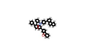 c1ccc(-c2ccccc2-c2ccccc2N(c2ccc(-c3cccc4c3ccc3ccccc34)cc2)c2cccc(-c3ccc4c(c3)oc3ccccc34)c2)cc1